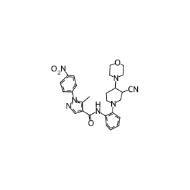 Cc1c(C(=O)Nc2ccccc2N2CCC(N3CCOCC3)C(C#N)C2)cnn1-c1ccc([N+](=O)[O-])cc1